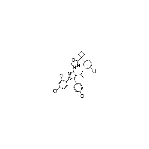 CC(C)c1c(N2COC(C3(c4ccc(Cl)cc4)CCC3)=N2)nn(-c2ccc(Cl)cc2Cl)c1-c1ccc(Cl)cc1